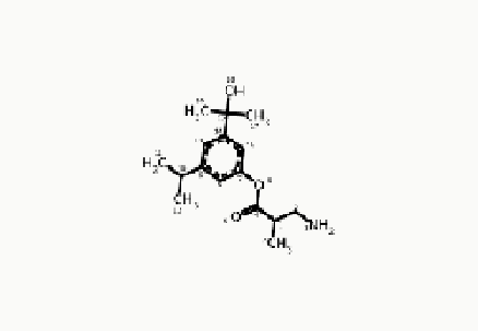 CC(CN)C(=O)Oc1cc(C(C)C)cc(C(C)(C)O)c1